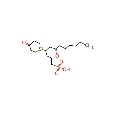 CCCCCCC(=O)CC(CCCS(=O)(=O)O)[S+]1CCC(=O)CC1